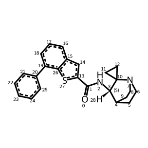 O=C(N[C@H]1C2CCN(CC2)C12CC2)c1cc2cccc(-c3ccccc3)c2s1